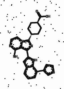 Nc1nccn2c1c(-c1cc3cccc(-c4ccsc4)c3[nH]1)nc2[C@H]1CC[C@H](C(=O)O)CC1